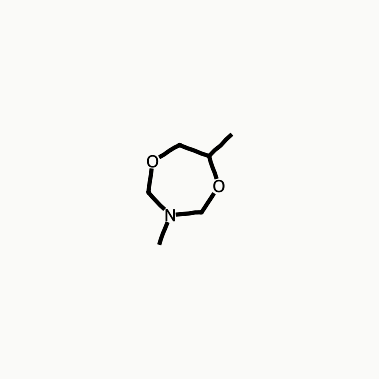 CC1COCN(C)CO1